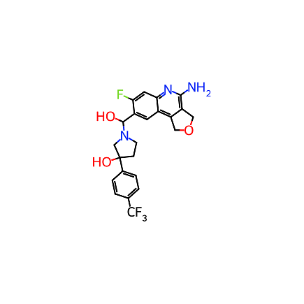 Nc1nc2cc(F)c(C(O)N3CCC(O)(c4ccc(C(F)(F)F)cc4)C3)cc2c2c1COC2